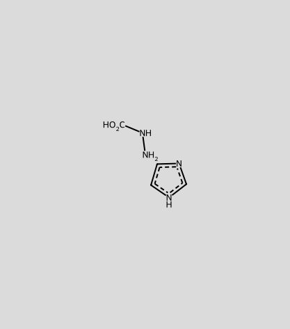 NNC(=O)O.c1c[nH]cn1